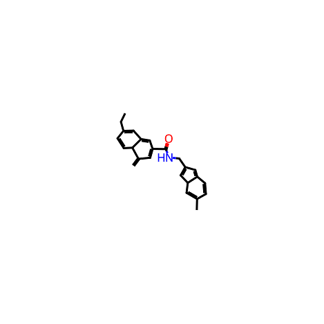 C=C1C=C(C(=O)NCC2=CC3C=C(C)C=CC3=C2)C=C2C=C(CC)C=CC12